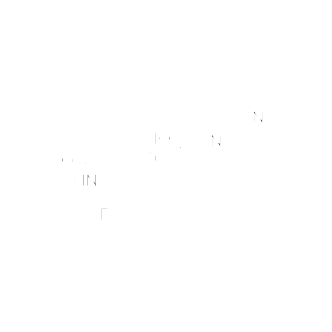 O=C1CCc2c(OCC3(O)CCN(c4cccnc4)CC3)ccc(F)c2N1